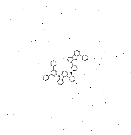 c1ccc(-c2cc(-c3ccccc3)nc(-n3c4ccccc4c4c5c6ccccc6n(-c6cccc(-c7cccc8c7Cc7c(-c9ccccc9)cccc7-8)c6)c5ccc43)n2)cc1